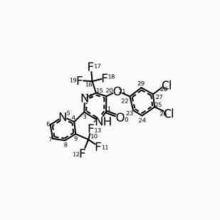 O=c1[nH]c(-c2ncccc2C(F)(F)F)nc(C(F)(F)F)c1Oc1ccc(Cl)c(Cl)c1